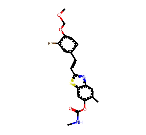 CNC(=O)Oc1cc2sc(C=Cc3ccc(OCOC)c(Br)c3)nc2cc1C